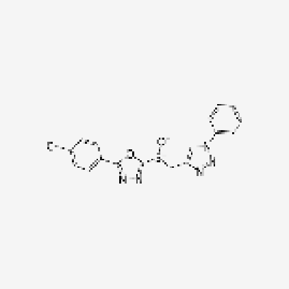 [O-][S+](Cc1cn(-c2ccccc2)nn1)c1nnc(-c2ccc(Cl)cc2)o1